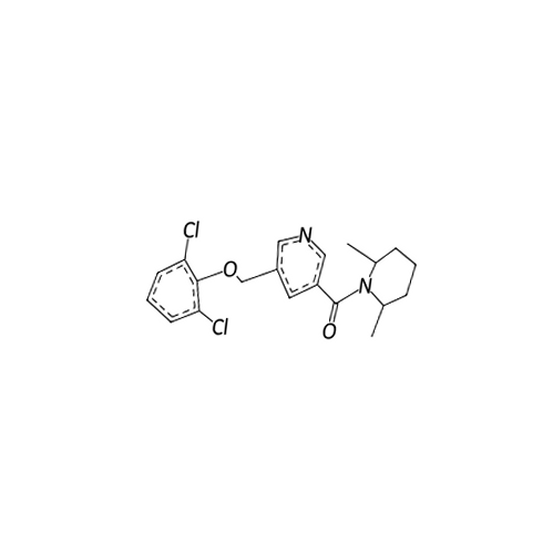 CC1CCCC(C)N1C(=O)c1cncc(COc2c(Cl)cccc2Cl)c1